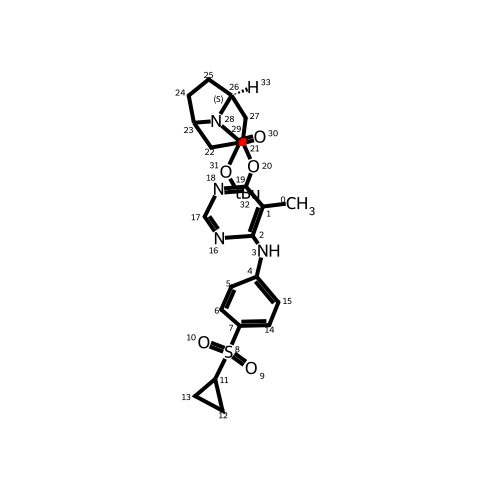 Cc1c(Nc2ccc(S(=O)(=O)C3CC3)cc2)ncnc1OC1CC2CC[C@@H](C1)N2C(=O)OC(C)(C)C